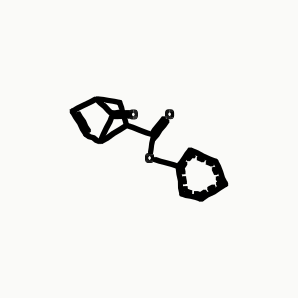 O=C1C2C=CC1C(C(=O)Oc1ccccc1)C2